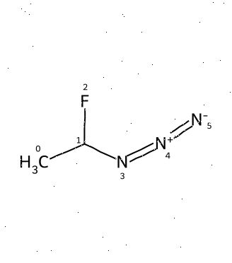 CC(F)N=[N+]=[N-]